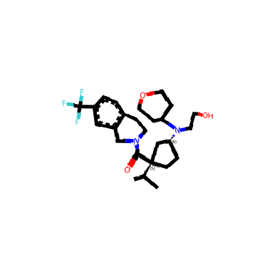 CC(C)[C@]1(C(=O)N2CCc3ccc(C(F)(F)F)cc3C2)CC[C@@H](N(CCO)C2CCOCC2)C1